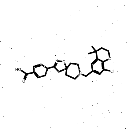 CC1(C)CCOc2c(Cl)cc(CN3CCC4(CC3)CC(C3C=CC(C(=O)O)=CC3)=NO4)cc21